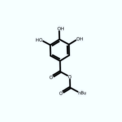 CC[CH]CC(=O)OC(=O)c1cc(O)c(O)c(O)c1